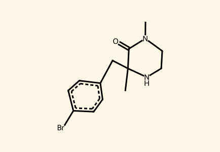 CN1CCNC(C)(Cc2ccc(Br)cc2)C1=O